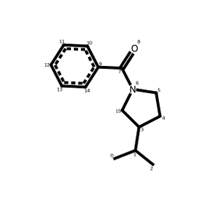 CC(C)C1CCN(C(=O)c2ccccc2)C1